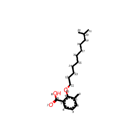 Cc1cccc(C(=O)O)c1OCCCCCCCCCC(C)C